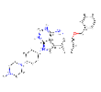 CN1CCN([C@H]2CC[C@@H](n3cc(-c4cccc(OCc5ccccc5)c4)c4c(N)ncnc43)CC2)CC1